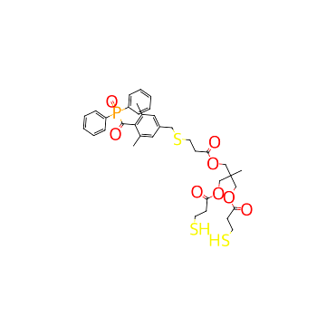 Cc1cc(CSCCC(=O)OCC(C)(COC(=O)CCS)COC(=O)CCS)cc(C)c1C(=O)P(=O)(c1ccccc1)c1ccccc1